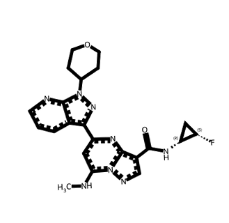 CNc1cc(-c2nn(C3CCOCC3)c3ncccc23)nc2c(C(=O)N[C@@H]3C[C@@H]3F)cnn12